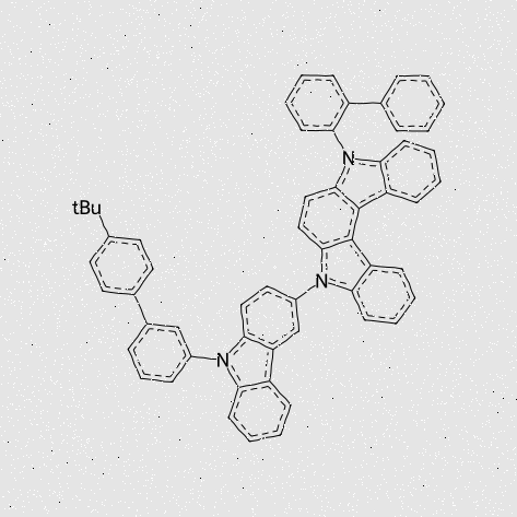 CC(C)(C)c1ccc(-c2cccc(-n3c4ccccc4c4cc(-n5c6ccccc6c6c7c8ccccc8n(-c8ccccc8-c8ccccc8)c7ccc65)ccc43)c2)cc1